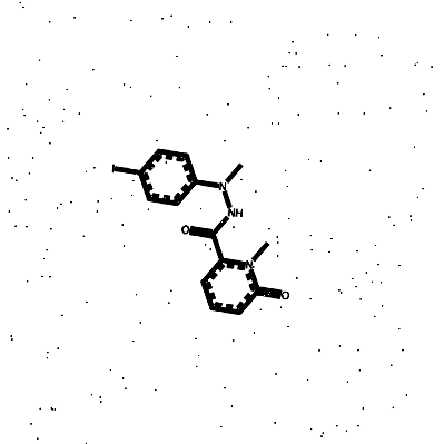 CN(NC(=O)c1cccc(=O)n1C)c1ccc(I)cc1